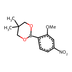 COc1cc([N+](=O)[O-])ccc1B1OCC(C)(C)CO1